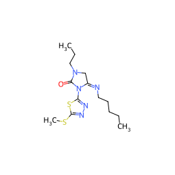 CCCCCN=C1CN(CCC)C(=O)N1c1nnc(SC)s1